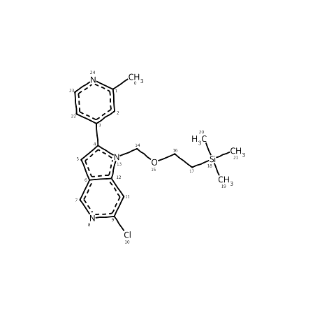 Cc1cc(-c2cc3cnc(Cl)cc3n2COCC[Si](C)(C)C)ccn1